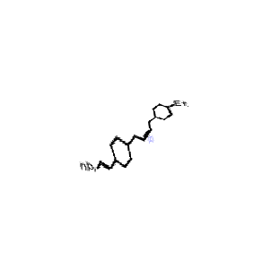 CCCC=CC1CCC(C/C=C\CC2CCC(CC)CC2)CC1